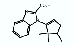 CC1CC=C(n2c(C(=O)O)nc3ccccc32)C1(C)C